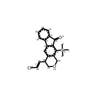 C[Si](C)(C)c1c2c(cc3c1C(=O)c1ccccc1-3)C(/C=C/Cl)COC2